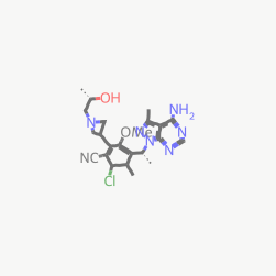 COC1=C([C@@H](C)n2nc(C)c3c(N)ncnc32)C(C)C(Cl)C(C#N)=C1C1CN(C[C@H](C)O)C1